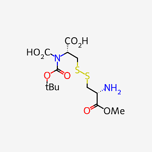 COC(=O)[C@@H](N)CSSC[C@@H](C(=O)O)N(C(=O)O)C(=O)OC(C)(C)C